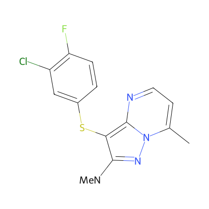 CNc1nn2c(C)ccnc2c1Sc1ccc(F)c(Cl)c1